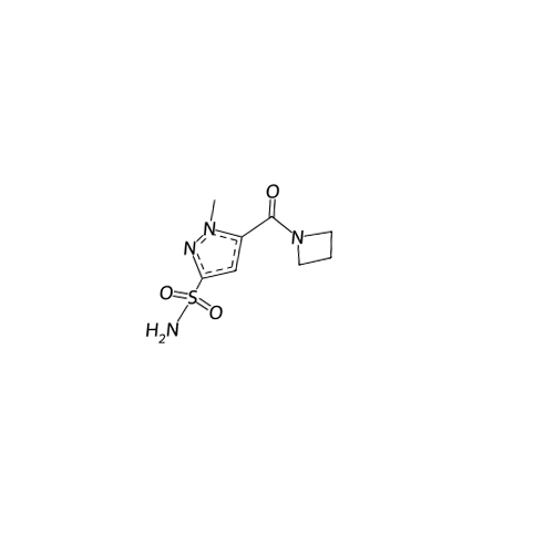 Cn1nc(S(N)(=O)=O)cc1C(=O)N1CCC1